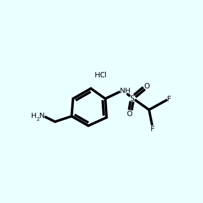 Cl.NCc1ccc(NS(=O)(=O)C(F)F)cc1